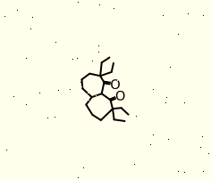 CCC1(CC)CCCC2CCCC(CC)(CC)C(=O)C2C1=O